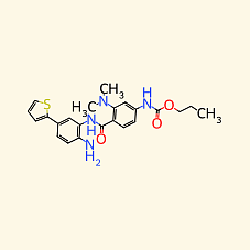 CCCOC(=O)Nc1ccc(C(=O)Nc2cc(-c3cccs3)ccc2N)c(N(C)C)c1